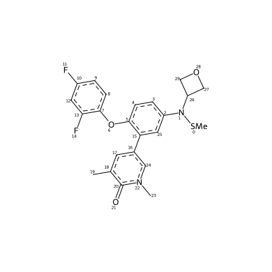 CSN(c1ccc(Oc2ccc(F)cc2F)c(-c2cc(C)c(=O)n(C)c2)c1)C1COC1